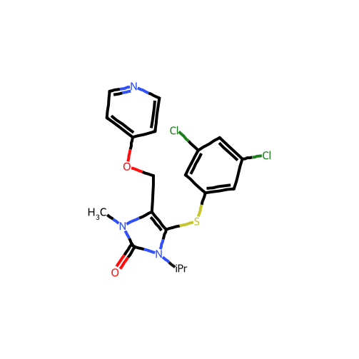 CC(C)n1c(Sc2cc(Cl)cc(Cl)c2)c(COc2ccncc2)n(C)c1=O